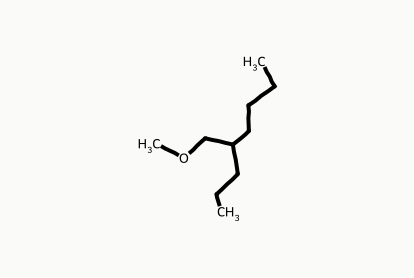 CCCCC(CCC)COC